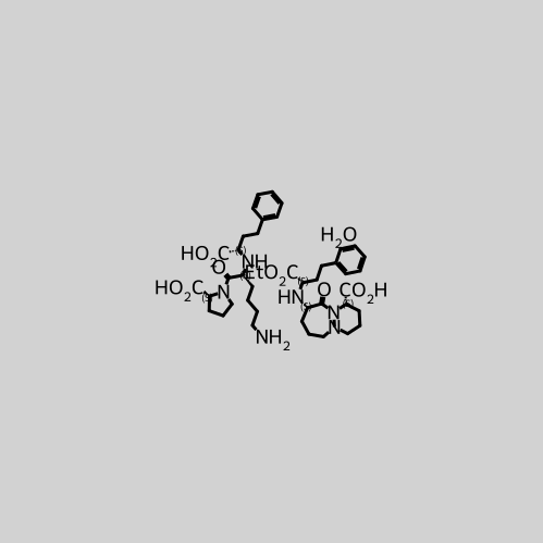 CCOC(=O)[C@H](CCc1ccccc1)N[C@H]1CCCN2CCC[C@@H](C(=O)O)N2C1=O.NCCCC[C@H](N[C@@H](CCc1ccccc1)C(=O)O)C(=O)N1CCC[C@H]1C(=O)O.O